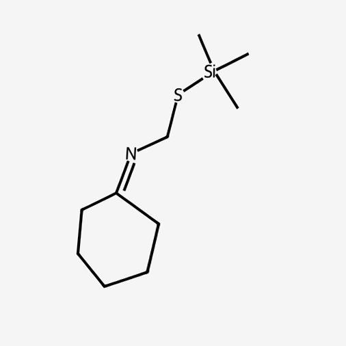 C[Si](C)(C)SCN=C1CCCCC1